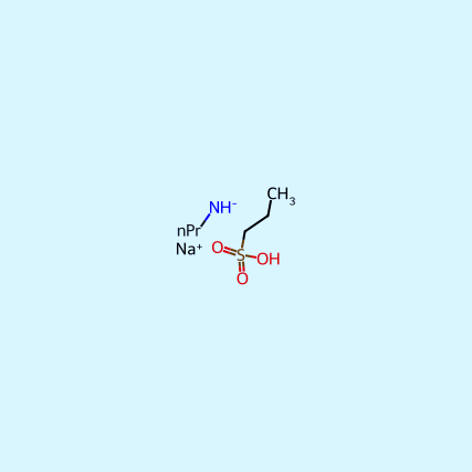 CCCS(=O)(=O)O.CCC[NH-].[Na+]